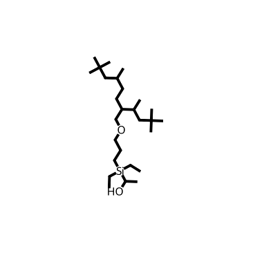 CC[Si](CC)(CCCOCC(CCC(C)CC(C)(C)C)C(C)CC(C)(C)C)C(C)O